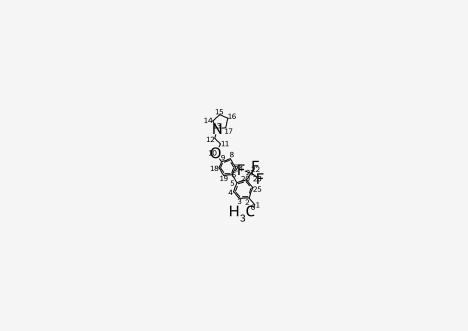 CCc1ccc(-c2ccc(OCCN3CCCC3)cc2)c(C(F)(F)F)c1